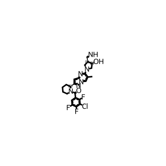 Cc1cn2nc([C@@H]3CCCCN3C(=O)c3cc(F)c(F)c(Cl)c3F)cc2nc1N1C[C@@H](C=N)[C@@H](O)C1